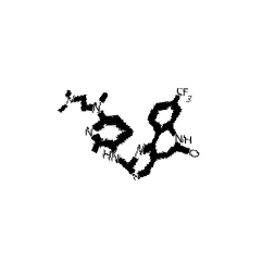 Cc1nc(N(C)CCN(C)C)ccc1Nc1ncc2c(n1)-c1ccc(C(F)(F)F)cc1NC(=O)C2